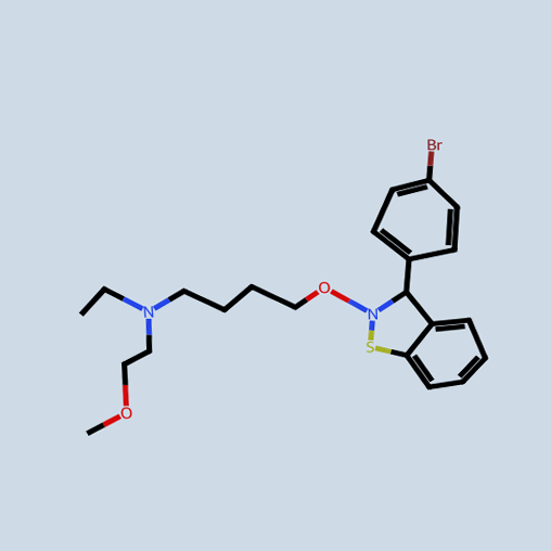 CCN(CCCCON1Sc2ccccc2C1c1ccc(Br)cc1)CCOC